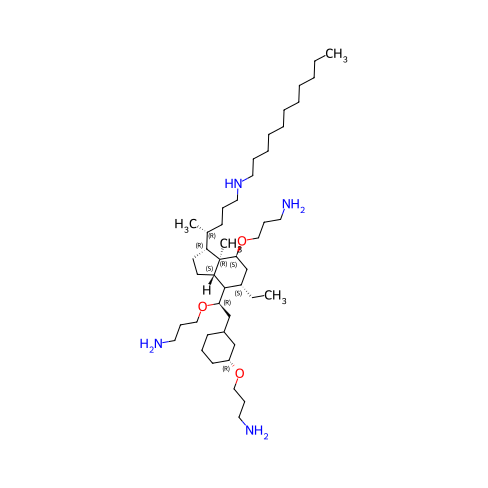 CCCCCCCCCCCNCCC[C@@H](C)[C@H]1CC[C@H]2C([C@@H](CC3CCC[C@@H](OCCCN)C3)OCCCN)[C@@H](CC)C[C@H](OCCCN)[C@]12C